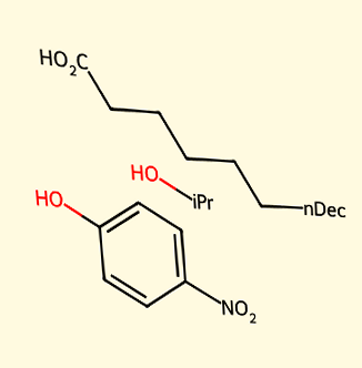 CC(C)O.CCCCCCCCCCCCCCCC(=O)O.O=[N+]([O-])c1ccc(O)cc1